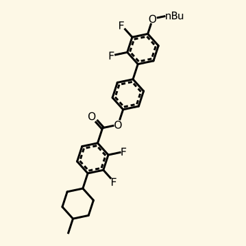 CCCCOc1ccc(-c2ccc(OC(=O)c3ccc(C4CCC(C)CC4)c(F)c3F)cc2)c(F)c1F